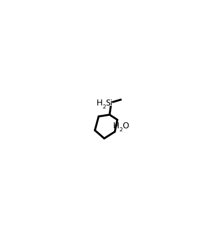 C[SiH2]C1CCCCC1.O